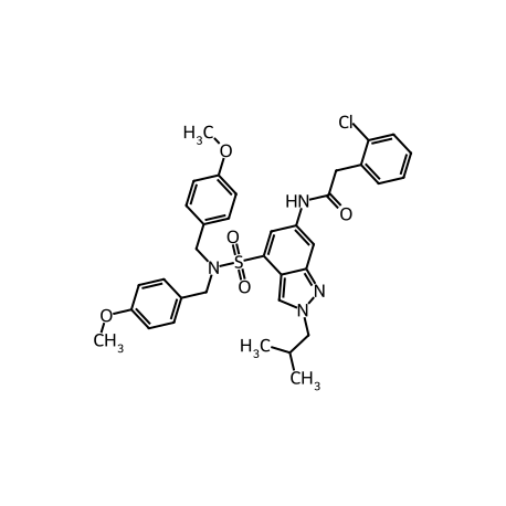 COc1ccc(CN(Cc2ccc(OC)cc2)S(=O)(=O)c2cc(NC(=O)Cc3ccccc3Cl)cc3nn(CC(C)C)cc23)cc1